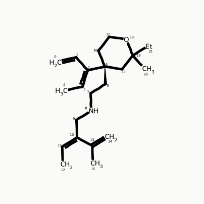 C=C/C(=C\C)[C@]1(CCNC/C(=C/C)C(=C)C)CCOC(C)(CC)C1